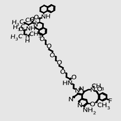 CN[C@H](C)C(=O)N[C@@H](C(=O)N1Cc2cc(OCCOCCOCCOCCOCCC(=O)NCCn3nc4c(c3C#N)-c3cnc(N)c(c3)O[C@H](C)c3cc(F)ccc3C(=O)N(C)C4)ccc2C[C@@H]1C(=O)N[C@H]1CCCc2ccccc21)C(C)(C)C